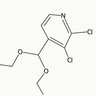 CCOC(OCC)c1ccnc(Cl)c1Cl